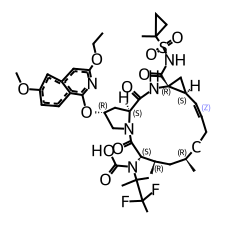 CCOc1cc2cc(OC)ccc2c(O[C@@H]2C[C@H]3C(=O)N[C@]4(C(=O)NS(=O)(=O)C5(C)CC5)C[C@H]4/C=C\CC[C@@H](C)C[C@@H](C)[C@H](N(C(=O)O)C(C)(C)C(C)(F)F)C(=O)N3C2)n1